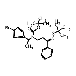 CC(c1ccc(Br)cc1)N(CC/C(=N\SC(C)(C)C)c1ccccc1)C(=O)OC(C)(C)C